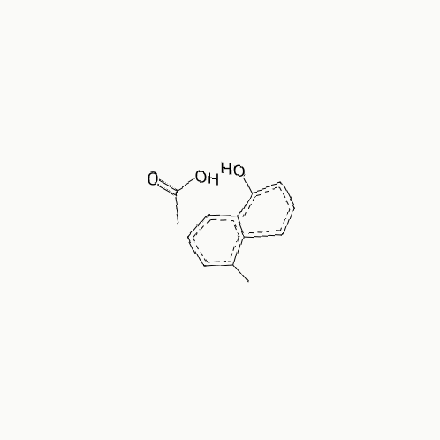 CC(=O)O.Cc1cccc2c(O)cccc12